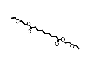 CCOCCOC(=O)CCCCCCCC(=O)OCCOCC